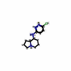 Clc1ccc(N[C@H]2CCCN3CCCC23)nn1